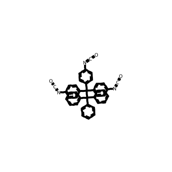 O=C=Nc1ccc(C(c2ccc(N=C=O)cc2)(c2ccc(N=C=O)cc2)C(c2ccccc2)(c2ccccc2)c2ccccc2)cc1